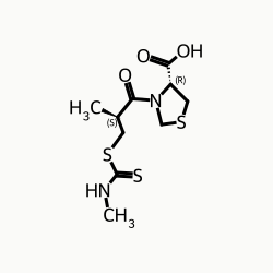 CNC(=S)SC[C@@H](C)C(=O)N1CSC[C@H]1C(=O)O